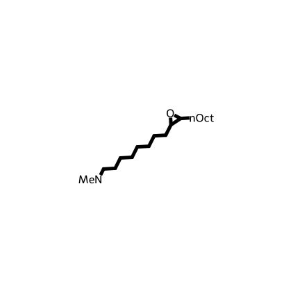 CCCCCCCCC1OC1CCCCCCCCNC